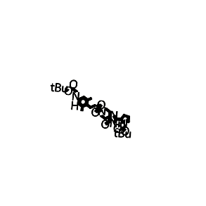 Cc1cc(NCC(=O)OC(C)(C)C)cc(C)c1CCS(=O)(=O)N1CCC2(CC1)N=C(C1CCCN1C(=O)OC(C)(C)C)NC2=O